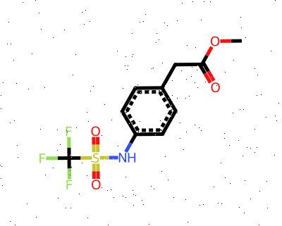 COC(=O)Cc1ccc(NS(=O)(=O)C(F)(F)F)cc1